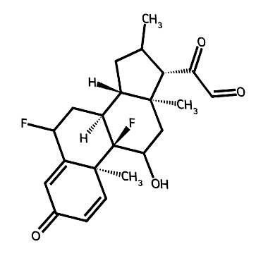 CC1C[C@H]2[C@@H]3CC(F)C4=CC(=O)C=C[C@]4(C)[C@@]3(F)C(O)C[C@]2(C)[C@H]1C(=O)C=O